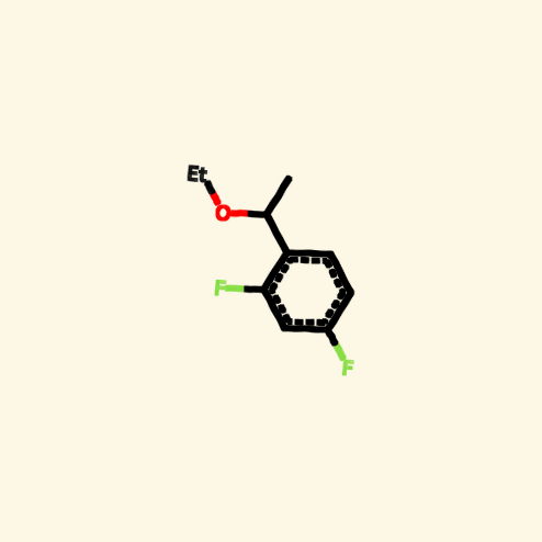 CCOC(C)c1ccc(F)cc1F